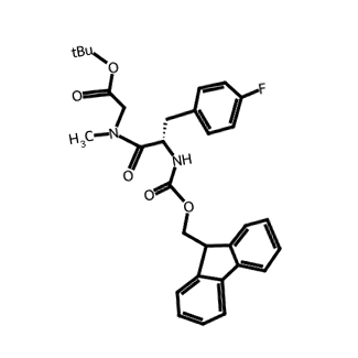 CN(CC(=O)OC(C)(C)C)C(=O)[C@H](Cc1ccc(F)cc1)NC(=O)OCC1c2ccccc2-c2ccccc21